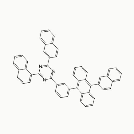 c1cc(-c2nc(-c3ccc4ccccc4c3)nc(-c3cccc4ccccc34)n2)cc(-c2c3ccccc3c(-c3ccc4ccccc4c3)c3ccccc23)c1